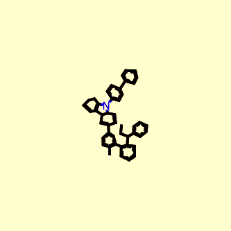 CCC(c1ccccc1)c1ccccc1-c1cc(C2=CC3C4=C(CCC=C4)N(c4ccc(-c5ccccc5)cc4)C3C=C2)ccc1C